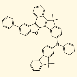 CC1(C)c2ccc(N(C3=CCCC=C3)c3ccc4c(c3)C(C)(I)c3ccccc3-4)cc2-c2c1c1ccccc1c1c2oc2ccc(-c3ccccc3)cc21